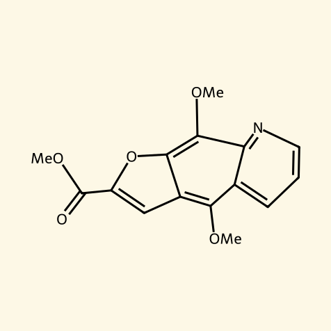 COC(=O)c1cc2c(OC)c3cccnc3c(OC)c2o1